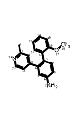 Cc1cc(-c2cc(N)ccc2-c2ccccc2OC(F)(F)F)ccn1